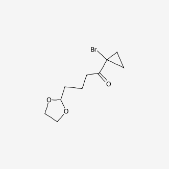 O=C(CCCC1OCCO1)C1(Br)CC1